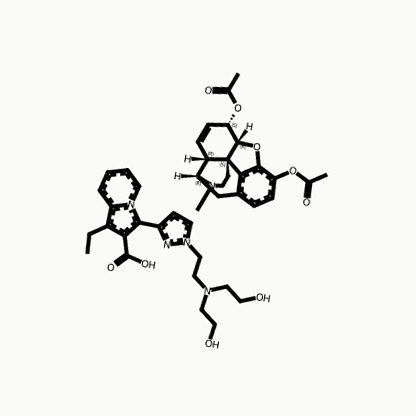 CC(=O)Oc1ccc2c3c1O[C@H]1[C@@H](OC(C)=O)C=C[C@H]4[C@@H](C2)N(C)CC[C@@]341.CCc1c(C(=O)O)c(-c2ccn(CCN(CCO)CCO)n2)n2ccccc12